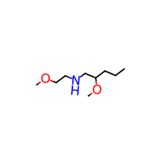 CCCC(CNCCOC)OC